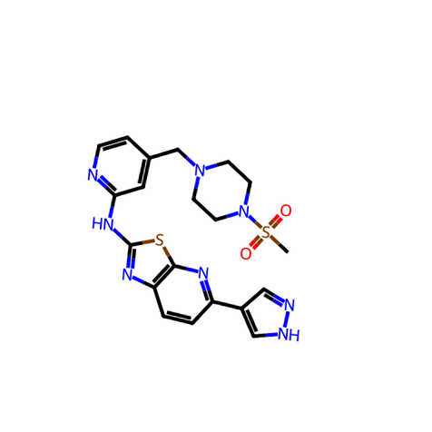 CS(=O)(=O)N1CCN(Cc2ccnc(Nc3nc4ccc(-c5cn[nH]c5)nc4s3)c2)CC1